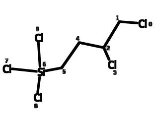 ClCC(Cl)CC[Si](Cl)(Cl)Cl